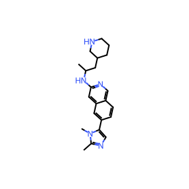 Cc1ncc(-c2ccc3cnc(NC(C)CC4CCCNC4)cc3c2)n1C